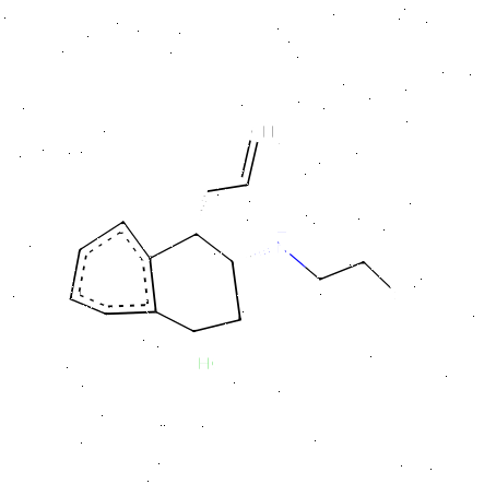 C=CC[C@H]1c2ccccc2CC[C@H]1NCCC.Cl